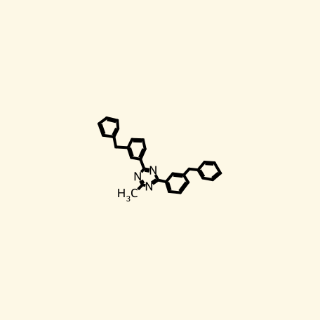 Cc1nc(-c2cccc(Cc3ccccc3)c2)nc(-c2cccc(Cc3ccccc3)c2)n1